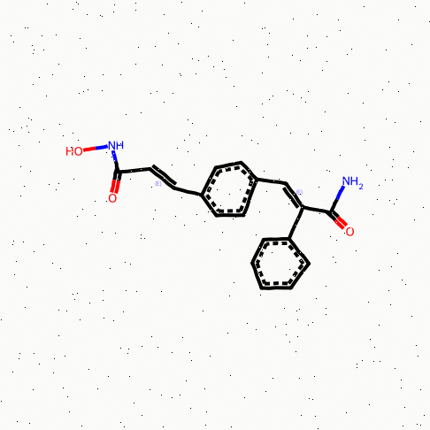 NC(=O)/C(=C/c1ccc(/C=C/C(=O)NO)cc1)c1ccccc1